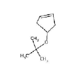 CC(C)(C)OC1CC=CC1